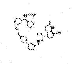 O=C(O)NC(c1ccccc1)c1cccc(OCCc2ccc(-c3cccc(CNCC(O)c4ccc(O)c5[nH]c(=O)ccc45)c3)cc2)c1